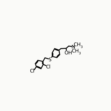 CN(C)CC(O)Cc1ccc(SCc2ccc(Cl)cc2Cl)cc1